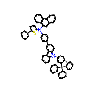 c1ccc(-c2ccc(N(c3ccc(-c4ccc5c(c4)c4ccccc4n5-c4ccc5c(c4)C(c4ccccc4)(c4ccccc4)c4ccccc4-5)cc3)c3cc4ccccc4c4ccccc34)s2)cc1